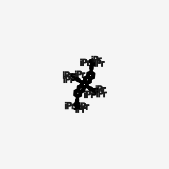 CC(C)[Si](C#Cc1ccc2cc3c(C#C[Si](C(C)C)(C(C)C)C(C)C)c4cc5cc(C#C[Si](C(C)C)(C(C)C)C(C)C)ccc5cc4c(C#C[Si](C(C)C)(C(C)C)C(C)C)c3cc2c1)(C(C)C)C(C)C